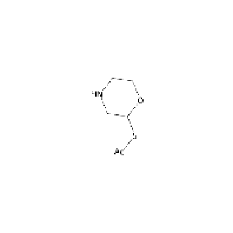 CC(=O)SC1CNCCO1